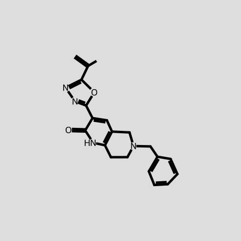 C=C(C)c1nnc(-c2cc3c([nH]c2=O)CCN(Cc2ccccc2)C3)o1